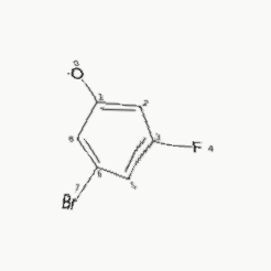 [O]c1cc(F)cc(Br)c1